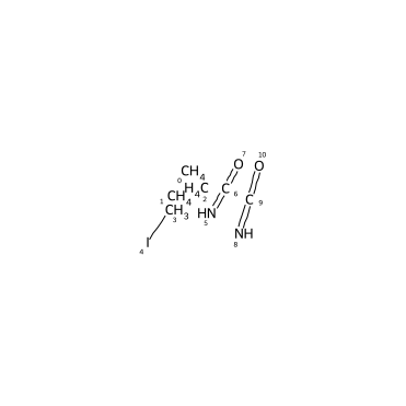 C.C.C.CI.N=C=O.N=C=O